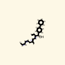 C=C/C(=C\C=C(/C)C/C=C\C=C/C)C(O)c1ccc(-c2ccccc2)cc1